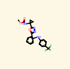 COC(=O)NC1(c2nnc(-c3ccccc3Nc3ccc(C(F)(F)F)cc3)o2)CC1